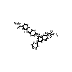 CNC(=O)c1ccnc(NC2CCC(Oc3nc(N4CCOCC4)cc4ncc(NS(C)(=O)=O)cc34)CC2)n1